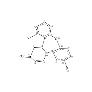 Cc1cccc2c1C1CC(=O)C=CN1c1cc(F)ccc1O2